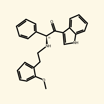 COc1ccccc1CCN[C@H](C(=O)c1c[nH]c2ccccc12)c1ccccc1